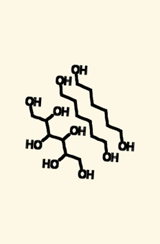 OCC(O)C(O)C(O)C(O)CO.OCCCCCCO.OCCCCCCO